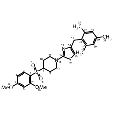 COc1ccc(S(=O)(=O)C2CCN(c3nc(Cc4c(C)cc(C)cc4C)cs3)CC2)c(OC)c1